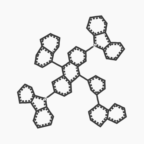 c1cc(-c2cccc3ccccc23)cc(-c2c3cc(-n4c5ccccc5c5ccccc54)ccc3c(-c3cccc4ccccc34)c3cc(-n4c5ccccc5c5ccccc54)ccc23)c1